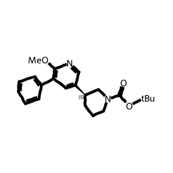 COc1ncc([C@@H]2CCCN(C(=O)OC(C)(C)C)C2)cc1-c1ccccc1